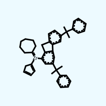 CC(C)(c1ccccc1)c1ccc2c(c1)-c1cc(C(C)(C)c3ccccc3)c[c]([Zr]([C]3=CC=CC3)=[C]3CCCCCC3)c1C2